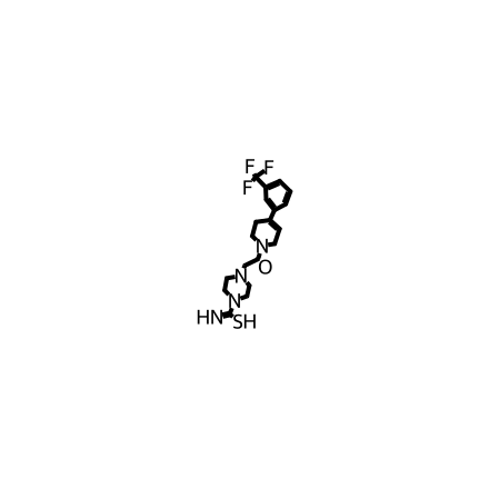 N=C(S)N1CCN(CC(=O)N2CC=C(c3cccc(C(F)(F)F)c3)CC2)CC1